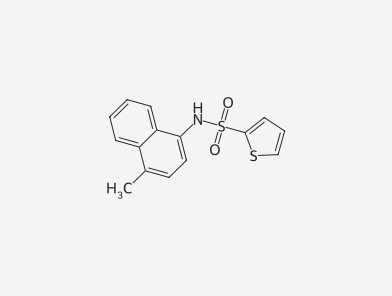 Cc1ccc(NS(=O)(=O)c2cccs2)c2ccccc12